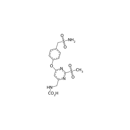 CS(=O)(=O)c1nc(CNC(=O)O)cc(Oc2ccc(CS(N)(=O)=O)cc2)n1